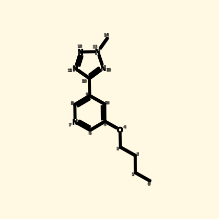 CCCCOc1cncc(-c2nnn(C)n2)c1